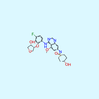 COc1cc(N=S2(=O)CCC(O)CC2)cc2ncnc(Nc3ccc(F)cc3O[C@H]3COC[C@@H]3O)c12